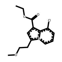 CCOC(=O)c1cc(CCOC)n2cccc(Cl)c12